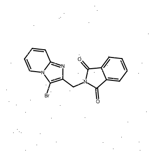 O=C1c2ccccc2C(=O)N1Cc1nc2ccccn2c1Br